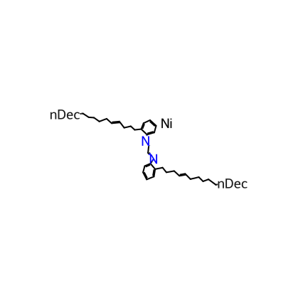 CCCCCCCCCCCCCCCC=CCCCc1ccccc1N=CC=Nc1ccccc1CCCC=CCCCCCCCCCCCCCCC.[Ni]